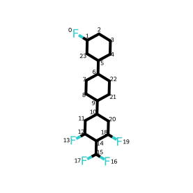 FC1CCCC(C2CCC(C3CC(F)C(C(F)F)C(F)C3)CC2)C1